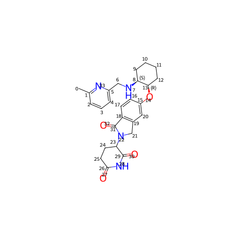 Cc1cccc(CN[C@H]2CCCC[C@H]2Oc2ccc3c(c2)CN(C2CCC(=O)NC2=O)C3=O)n1